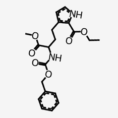 CCOC(=O)c1[nH]ccc1CCC(NC(=O)OCc1ccccc1)C(=O)OC